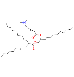 CCCCCCCCCCC(COC(=O)C(CCCCCCCCC)CCCCCCCCC)OC(=O)CCCCN(C)C